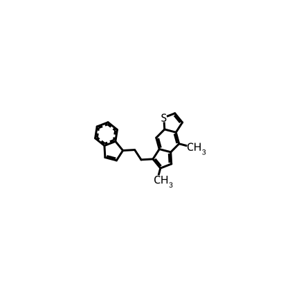 CC1=C(CCC2C=Cc3ccccc32)C2=CC3SC=CC3=C(C)C2=C1